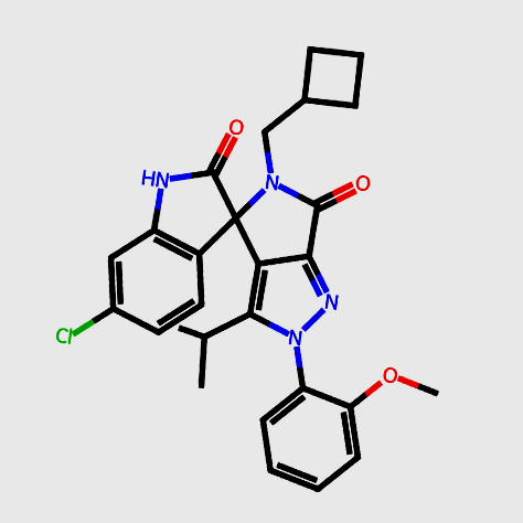 COc1ccccc1-n1nc2c(c1C(C)C)C1(C(=O)Nc3cc(Cl)ccc31)N(CC1CCC1)C2=O